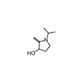 C=C1C(O)CCN1C(C)C